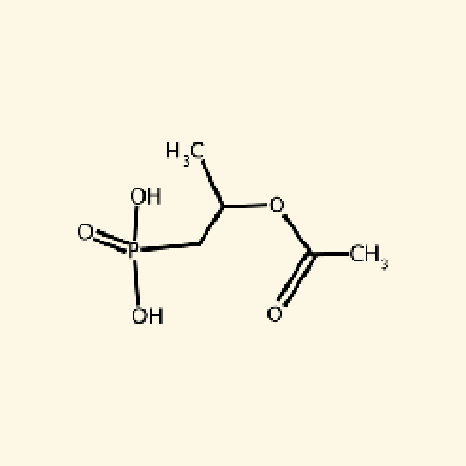 CC(=O)OC(C)CP(=O)(O)O